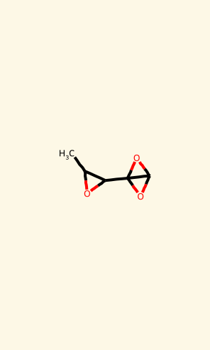 CC1OC1C12OC1O2